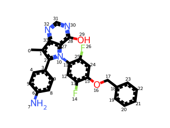 Cc1c(-c2ccc(N)cc2)n(-c2cc(F)c(OCc3ccccc3)cc2F)c2c(O)ncnc12